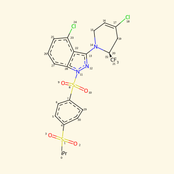 CC(C)S(=O)(=O)c1ccc(S(=O)(=O)n2nc(N3CC=C(Cl)C[C@H]3C(F)(F)F)c3c(Cl)cccc32)cc1